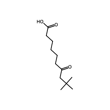 CC(C)(C)CC(=O)CCCCCC(=O)O